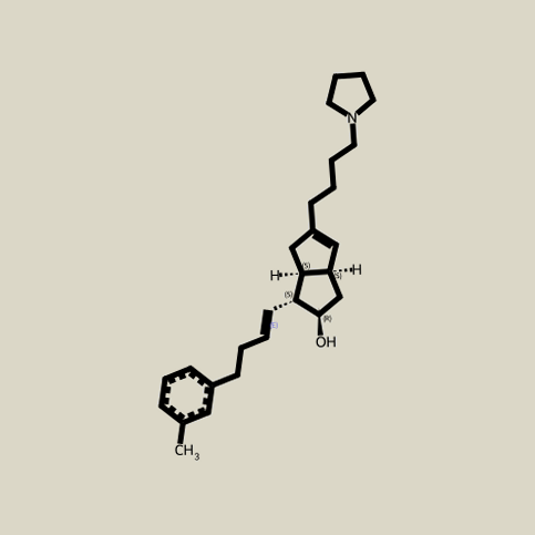 Cc1cccc(CC/C=C/[C@@H]2[C@H]3CC(CCCCN4CCCC4)=C[C@H]3C[C@H]2O)c1